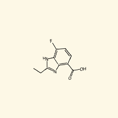 CCc1nc2c(C(=O)O)ccc(F)c2[nH]1